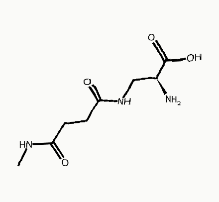 CNC(=O)CCC(=O)NC[C@H](N)C(=O)O